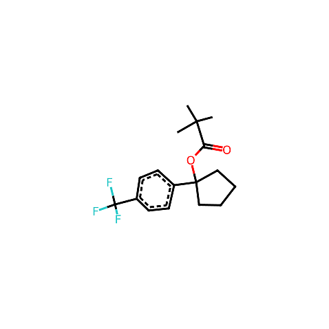 CC(C)(C)C(=O)OC1(c2ccc(C(F)(F)F)cc2)CCCC1